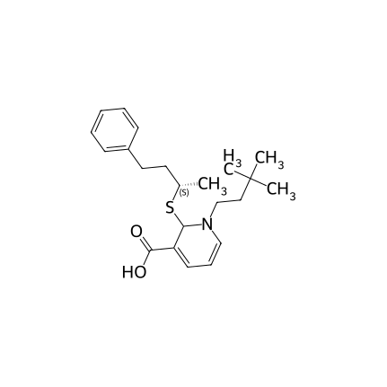 C[C@@H](CCc1ccccc1)SC1C(C(=O)O)=CC=CN1CCC(C)(C)C